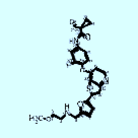 COCCNCc1ccc(-c2cc3nccc(Oc4ccc(NC(=O)C5(C=O)CC5)cc4F)c3s2)o1